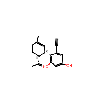 C#Cc1cc(O)cc(O)c1[C@H]1C=C(C)CC[C@H]1C(=C)C